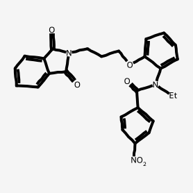 CCN(C(=O)c1ccc([N+](=O)[O-])cc1)c1ccccc1OCCCN1C(=O)c2ccccc2C1=O